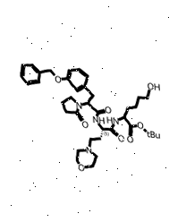 CC(C)(C)OC(=O)C(CCCCO)NC(=O)[C@H](CCN1CCOCC1)NC(=O)C(Cc1cccc(OCc2ccccc2)c1)N1CCCC1=O